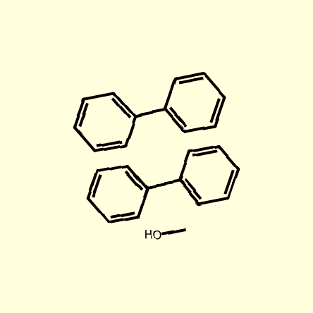 CO.c1ccc(-c2ccccc2)cc1.c1ccc(-c2ccccc2)cc1